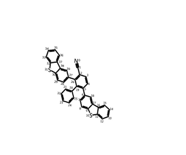 N#Cc1ccc(-c2ccc3sc4ccccc4c3c2)c(-c2ccccc2)c1-c1ccc2sc3ccccc3c2c1